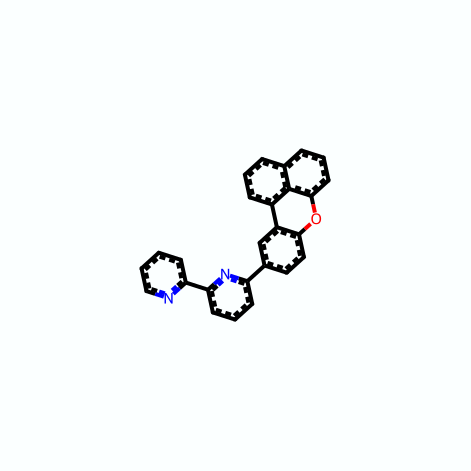 c1ccc(-c2cccc(-c3ccc4c(c3)-c3cccc5cccc(c35)O4)n2)nc1